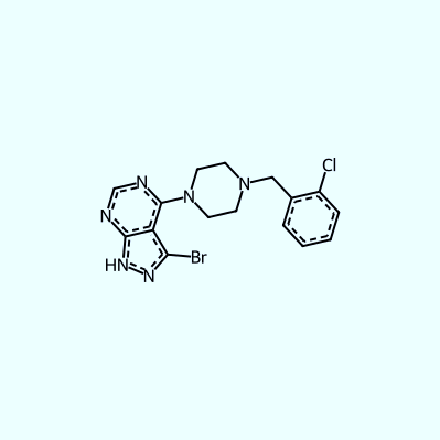 Clc1ccccc1CN1CCN(c2ncnc3[nH]nc(Br)c23)CC1